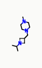 CC(C)N1CC(CN2CCN(C)CC2)C1